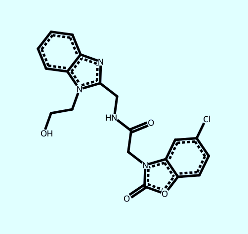 O=C(Cn1c(=O)oc2ccc(Cl)cc21)NCc1nc2ccccc2n1CCO